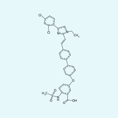 CCn1cc(-c2ccc(Cl)cc2Cl)nc1C=Cc1ccc(-c2ccc(Oc3ccc(NS(C)(=O)=O)c(C(=O)O)c3)cc2)cc1